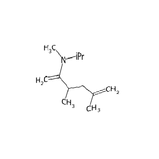 C=C(C)CC(C)C(=C)N(C)C(C)C